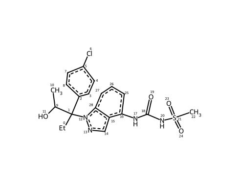 CCC(c1ccc(Cl)cc1)(C(C)O)n1ncc2c(NC(=O)NS(C)(=O)=O)cccc21